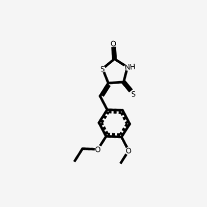 CCOc1cc(C=C2SC(=O)NC2=S)ccc1OC